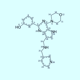 Oc1cccc(-c2nc(N3CCOCC3)c3[nH]cc(CNCc4cccnc4)c3n2)c1